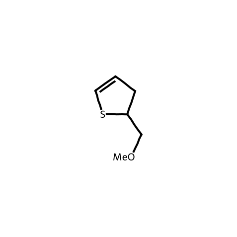 COCC1CC=CS1